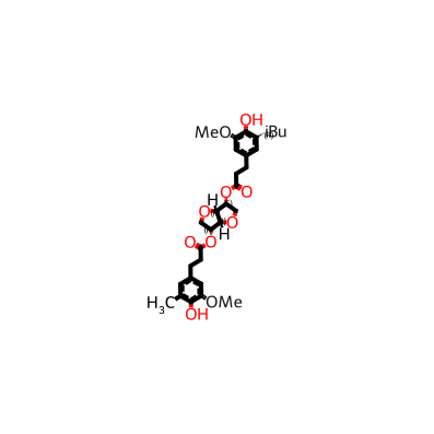 CC[C@@H](C)c1cc(CCC(=O)O[C@H]2CO[C@H]3[C@@H]2OC[C@H]3OC(=O)CCc2cc(C)c(O)c(OC)c2)cc(OC)c1O